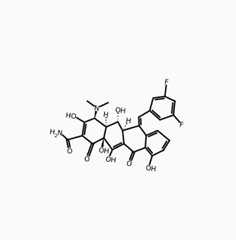 CN(C)[C@@H]1C(O)=C(C(N)=O)C(=O)[C@@]2(O)C(O)=C3C(=O)c4c(O)cccc4/C(=C\c4cc(F)cc(F)c4)[C@@H]3[C@@H](O)[C@H]12